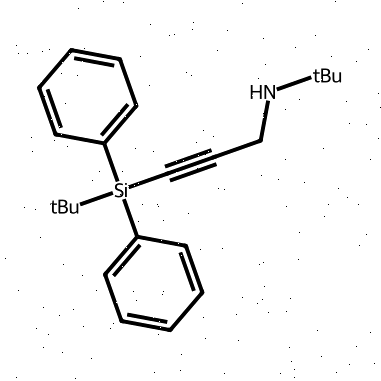 CC(C)(C)NCC#C[Si](c1ccccc1)(c1ccccc1)C(C)(C)C